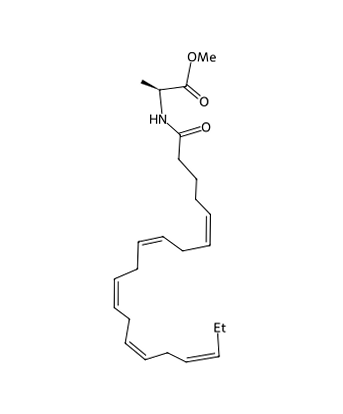 CC/C=C\C/C=C\C/C=C\C/C=C\C/C=C\CCCC(=O)N[C@@H](C)C(=O)OC